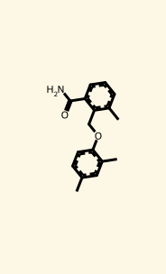 Cc1ccc(OCc2c(C)cccc2C(N)=O)c(C)c1